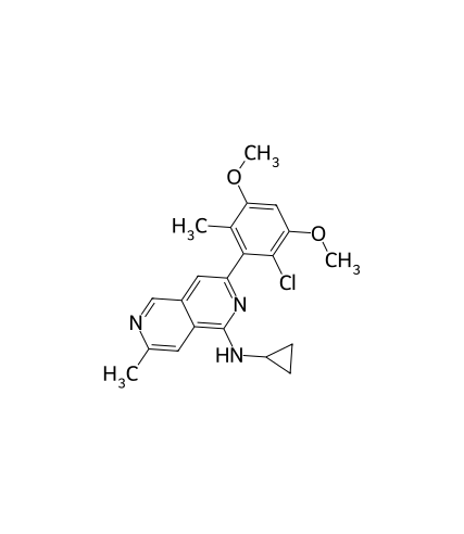 COc1cc(OC)c(Cl)c(-c2cc3cnc(C)cc3c(NC3CC3)n2)c1C